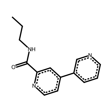 CCCNC(=O)c1cc(-c2cccnc2)ccn1